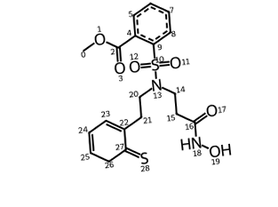 COC(=O)c1ccccc1S(=O)(=O)N(CCC(=O)NO)CCC1=CC=CCC1=S